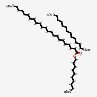 CCCCCCCCCCCCCCCCCCCCCCCCCCCCCCCC.CCCCCCCCCCCCCCCCCCCCCCCCCCCCCCCC(=O)OCCCCCCCCCCCCCCCCCCC